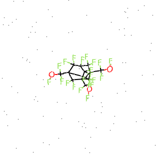 FOC(F)(F)C12C(F)(F)C3(F)C(F)(F)C(C(F)(F)OF)(C1(F)F)C(F)(F)C(C(F)(F)OF)(C3(F)F)C2(F)F